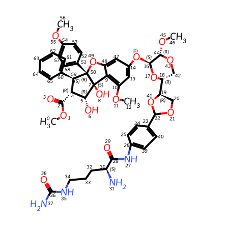 COC(=O)[C@H]1[C@@H](O)[C@@]2(O)c3c(OC)cc(O[C@@H]4O[C@@H]([C@H]5COC(c6ccc(NC(=O)[C@@H](N)CCCNC(N)=O)cc6)O5)CO[C@H]4OC)cc3O[C@@]2(c2ccc(OC)cc2)[C@@H]1c1ccccc1